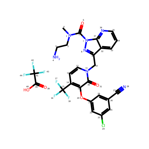 CN(CCN)C(=O)n1nc(Cn2ccc(C(F)(F)F)c(Oc3cc(Cl)cc(C#N)c3)c2=O)c2cccnc21.O=C(O)C(F)(F)F